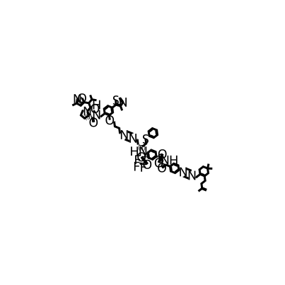 C=C(C)CCC1=C(CN2CCN(c3ccc(C(=O)NS(=O)(=O)c4ccc(N[C@H](CCN5CCN(CCCCOc6cc(-c7scnc7C)ccc6CNC(=O)[C@@H]6CCCN6C(=O)C(c6cc(C)no6)C(C)C)CC5)CSc5ccccc5)c(S(=O)(=O)C(F)(F)F)c4)cc3)CC2)CCC(C)(C)C1